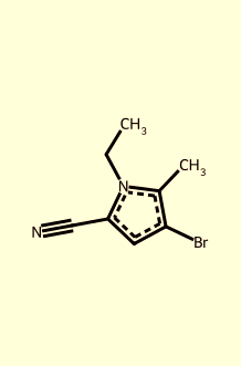 CCn1c(C#N)cc(Br)c1C